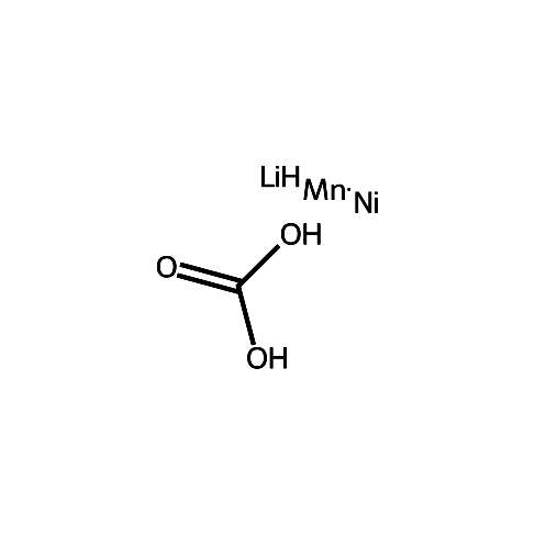 O=C(O)O.[LiH].[Mn].[Ni]